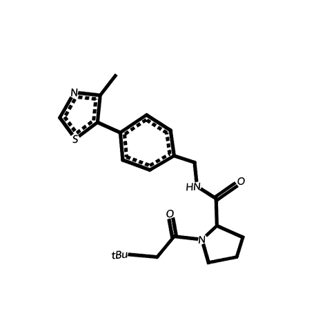 Cc1ncsc1-c1ccc(CNC(=O)C2CCCN2C(=O)CC(C)(C)C)cc1